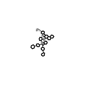 CC(C)c1ccc2c3cc4c(ccc5ccccc54)c4c3n(c2c1)-c1cccc2c1B4c1cccc3c(-c4ccc(-c5ccccc5)cc4)c(-c4ccc(-c5ccccc5)cc4)n-2c13